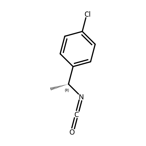 C[C@@H](N=C=O)c1ccc(Cl)cc1